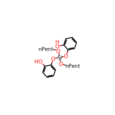 CCCCCO[Si](OCCCCC)(Oc1ccccc1O)Oc1ccccc1O